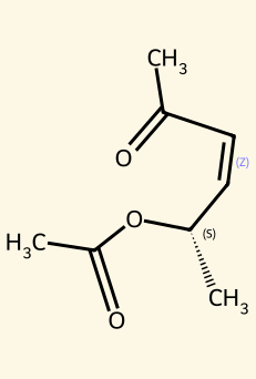 CC(=O)/C=C\[C@H](C)OC(C)=O